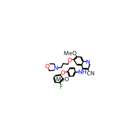 COc1cc2ncc(C#N)c(Nc3ccc(Oc4cccc(F)c4)c(OC)c3)c2cc1OCCCN1CCOCC1